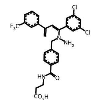 C=C(/C=C(/c1cc(Cl)cc(Cl)c1)N(N)Cc1ccc(C(=O)NCCC(=O)O)cc1)c1cccc(C(F)(F)F)c1